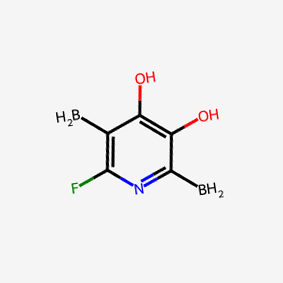 Bc1nc(F)c(B)c(O)c1O